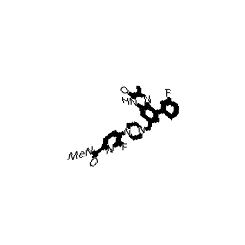 CNC(=O)c1ccc(N2CCN(Cc3cc(-c4cccc(F)c4)c4nc(C)c(=O)[nH]c4c3)CC2)c(F)n1